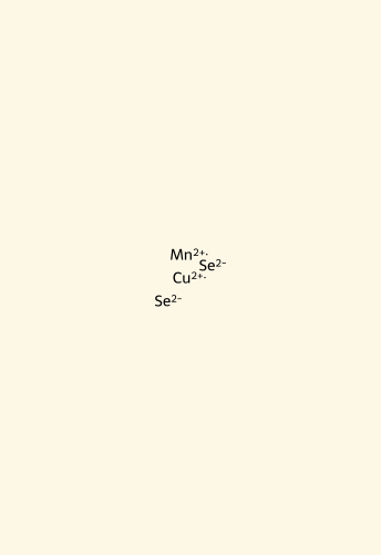 [Cu+2].[Mn+2].[Se-2].[Se-2]